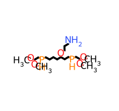 COC(CPCCCCC(CCPCC(OC)OC)OCCCN)OC